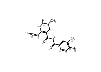 CC1CC(C(=O)OC(=O)c2ccc(Br)c(C(F)(F)F)c2)=C(N=C=S)CN1